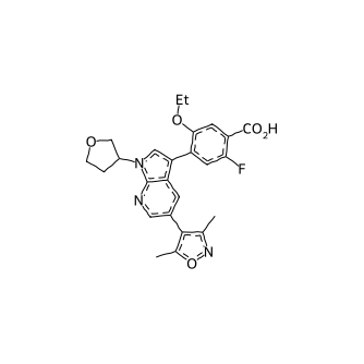 CCOc1cc(C(=O)O)c(F)cc1-c1cn(C2CCOC2)c2ncc(-c3c(C)noc3C)cc12